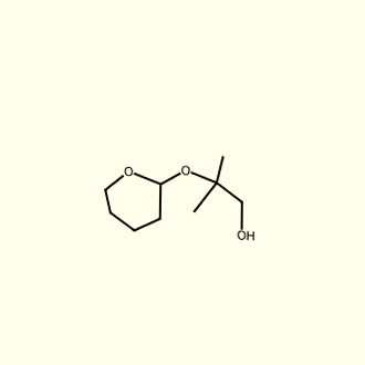 CC(C)(CO)OC1CCCCO1